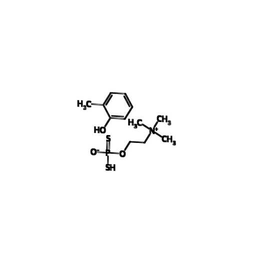 C[N+](C)(C)CCOP([O-])(=S)S.Cc1ccccc1O